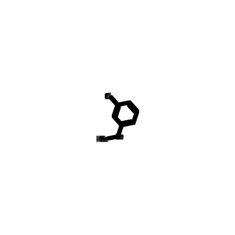 Clc1cccc([Se][SeH])c1